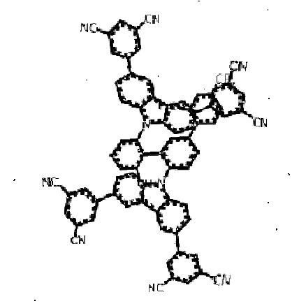 N#Cc1cc(C#N)cc(-c2ccc3c(c2)c2cc(-c4cc(C#N)cc(C#N)c4)ccc2n3-c2ccc(-c3ccc(C(F)(F)F)cc3C(F)(F)F)cc2-c2c(C#N)cccc2-n2c3ccc(-c4cc(C#N)cc(C#N)c4)cc3c3cc(-c4cc(C#N)cc(C#N)c4)ccc32)c1